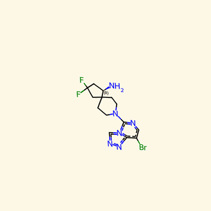 N[C@@H]1CC(F)(F)CC12CCN(c1ncc(Br)c3nncn13)CC2